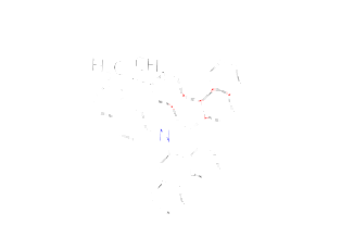 CC1(C)c2ccc(-c3ccccc3)cc2-c2c(N(c3ccc(-c4ccccc4)cc3)c3cc4ccccc4c4ccccc34)ccc3cccc1c23